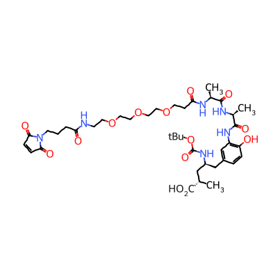 C[C@H](NC(=O)CCOCCOCCOCCNC(=O)CCCN1C(=O)C=CC1=O)C(=O)N[C@@H](C)C(=O)Nc1cc(C[C@@H](C[C@H](C)C(=O)O)NC(=O)OC(C)(C)C)ccc1O